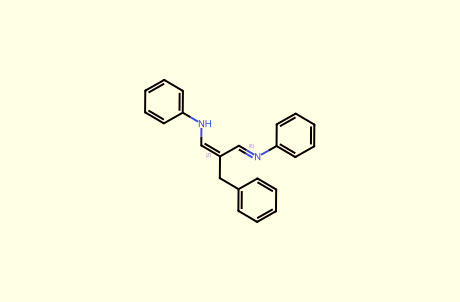 C(/Nc1ccccc1)=C(/C=N/c1ccccc1)Cc1ccccc1